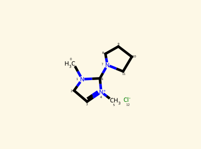 CN1CC=[N+](C)C1N1CCCC1.[Cl-]